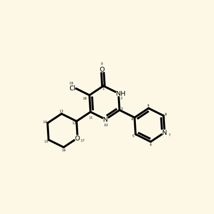 O=c1[nH]c(-c2ccncc2)nc(C2CCCCO2)c1Cl